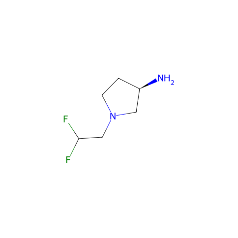 N[C@@H]1CCN(CC(F)F)C1